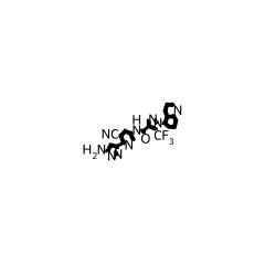 Cn1nc(-c2ncc(NC(=O)c3cnn(-c4cccc5ncccc45)c3C(F)(F)F)cc2C#N)cc1N